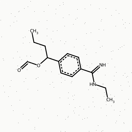 CCCC(O[C]=O)c1ccc(C(=N)NCC)cc1